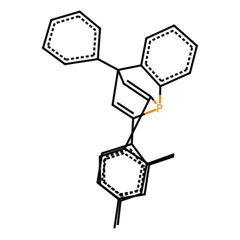 Cc1ccc(C2=CC3(c4ccccc4)C=C(c4ccc(C)cc4C)P2c2ccccc23)c(C)c1